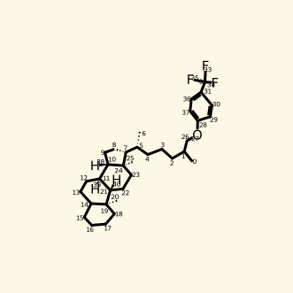 CC(CCC[C@@H](C)[C@H]1CC[C@H]2[C@@H]3CCC4CCCC[C@]4(C)[C@H]3CC[C@]12C)COc1ccc(C(F)(F)F)cc1